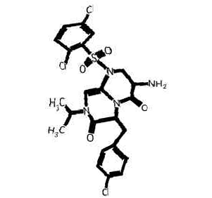 CC(C)N1C=C2N(C(=O)C(N)CN2S(=O)(=O)c2cc(Cl)ccc2Cl)C(Cc2ccc(Cl)cc2)C1=O